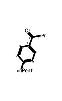 CCCCCc1ccc(C(=O)C(C)C)cc1